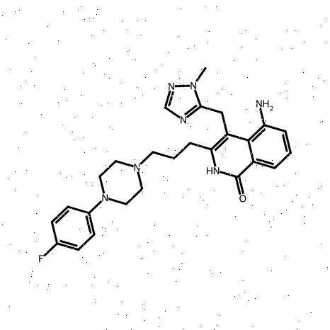 Cn1ncnc1Cc1c(CCCN2CCN(c3ccc(F)cc3)CC2)[nH]c(=O)c2cccc(N)c12